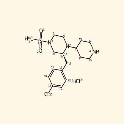 CS(=O)(=O)N1CCN(C2CCNCC2)[C@@H](Cc2ccc(Cl)cc2)C1.Cl